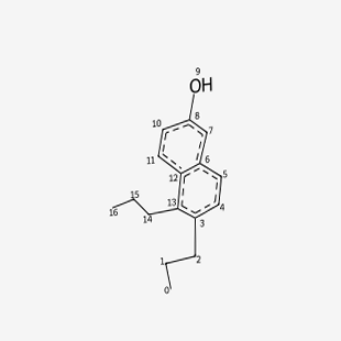 CCCc1ccc2cc(O)ccc2c1CCC